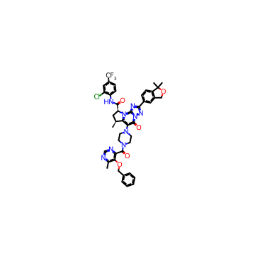 Cc1ncnc(C(=O)N2CCN(c3c4n(c5nc(-c6ccc7c(c6)COC7(C)C)nn5c3=O)[C@H](C(=O)Nc3ccc(C(F)(F)F)cc3Cl)C[C@@H]4C)CC2)c1OCc1ccccc1